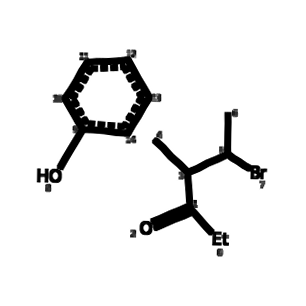 CCC(=O)C(C)C(C)Br.Oc1ccccc1